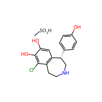 CS(=O)(=O)O.Oc1ccc([C@@H]2CNCCc3c2cc(O)c(O)c3Cl)cc1